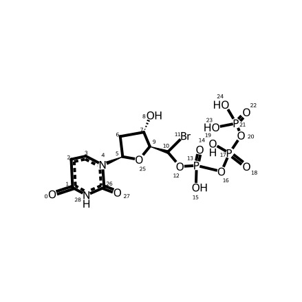 O=c1ccn([C@H]2C[C@H](O)[C@@H](C(Br)OP(=O)(O)OP(=O)(O)OP(=O)(O)O)O2)c(=O)[nH]1